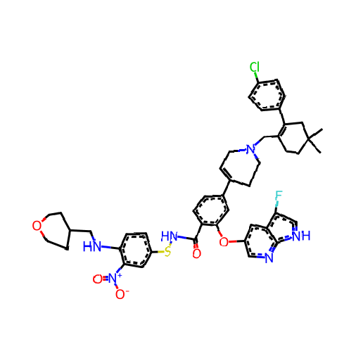 CC1(C)CCC(CN2CC=C(c3ccc(C(=O)NSc4ccc(NCC5CCOCC5)c([N+](=O)[O-])c4)c(Oc4cnc5[nH]cc(F)c5c4)c3)CC2)=C(c2ccc(Cl)cc2)C1